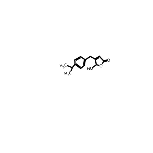 CC(C)c1ccc(CC2=CC(=O)OC2O)cc1